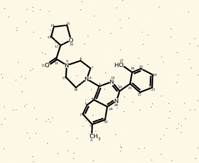 Cc1ccc2c(N3CCN(C(=O)C4CCCO4)CC3)nc(-c3ccccc3O)nc2c1